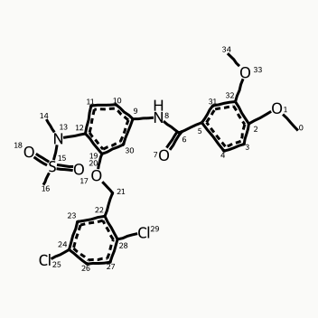 COc1ccc(C(=O)Nc2ccc(N(C)S(C)(=O)=O)c(OCc3cc(Cl)ccc3Cl)c2)cc1OC